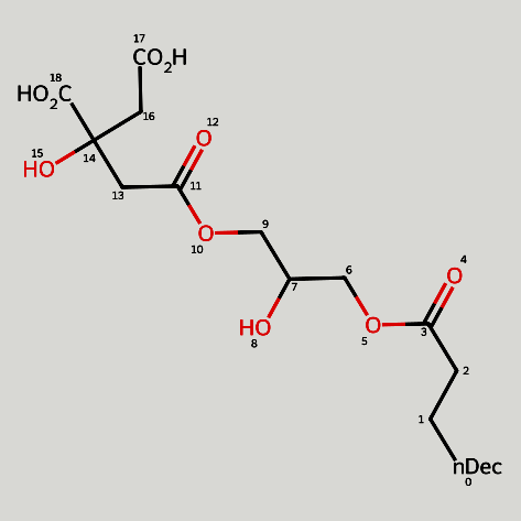 CCCCCCCCCCCCC(=O)OCC(O)COC(=O)CC(O)(CC(=O)O)C(=O)O